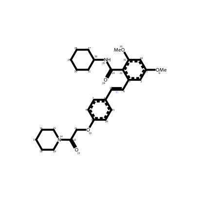 COc1cc(/C=C/c2ccc(OCC(=O)N3CCCCC3)cc2)c(C(=O)NC2CCCCC2)c(OC)c1